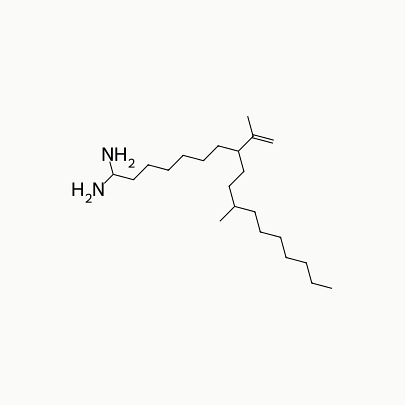 C=C(C)C(CCCCCCC(N)N)CCC(C)CCCCCCC